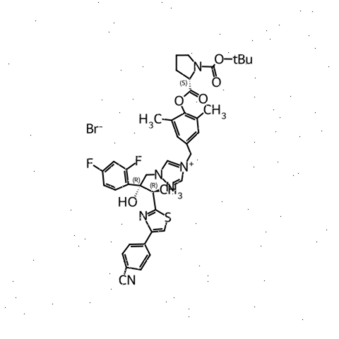 Cc1cc(C[n+]2cnn(C[C@](O)(c3ccc(F)cc3F)[C@@H](C)c3nc(-c4ccc(C#N)cc4)cs3)c2)cc(C)c1OC(=O)[C@@H]1CCCN1C(=O)OC(C)(C)C.[Br-]